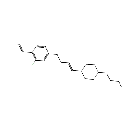 C/C=C/c1ccc(CC/C=C/C2CCC(CCCC)CC2)cc1F